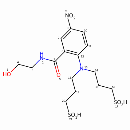 O=C(NCCO)c1cc([N+](=O)[O-])ccc1N(CCCS(=O)(=O)O)CCCS(=O)(=O)O